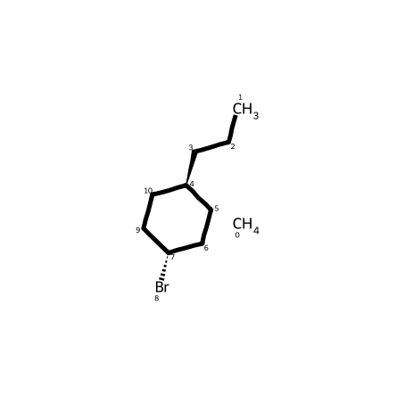 C.CCC[C@H]1CC[C@H](Br)CC1